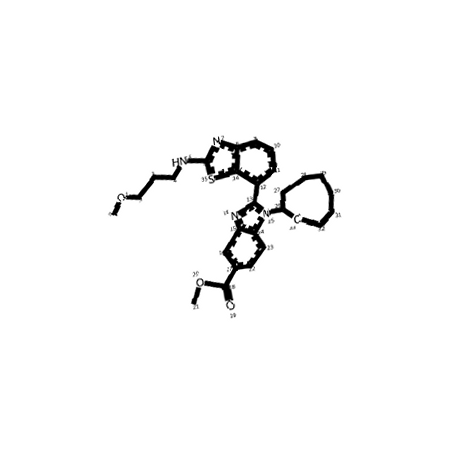 COCCCNc1nc2cccc(-c3nc4cc(C(=O)OC)ccc4n3C3CCCCCCC3)c2s1